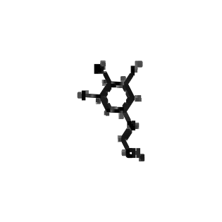 CC=Nc1cc(F)c(Br)c(F)c1